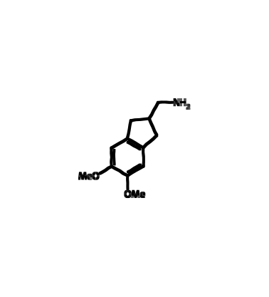 COc1cc2c(cc1OC)CC(CN)C2